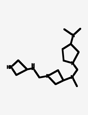 CN(C)C1CCN(CN(C)C2CN(CNC3CNC3)C2)C1